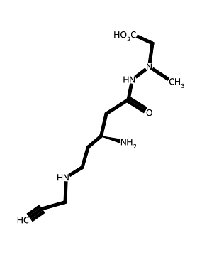 C#CCNCC[C@H](N)CC(=O)NN(C)CC(=O)O